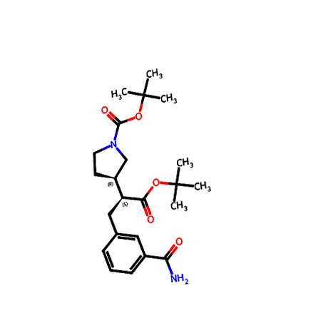 CC(C)(C)OC(=O)[C@@H](Cc1cccc(C(N)=O)c1)[C@H]1CCN(C(=O)OC(C)(C)C)C1